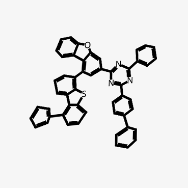 c1ccc(-c2ccc(-c3nc(-c4ccccc4)nc(-c4cc(-c5cccc6c5sc5cccc(-c7ccccc7)c56)c5c(c4)oc4ccccc45)n3)cc2)cc1